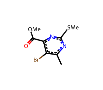 COC(=O)c1nc(SC)nc(C)c1Br